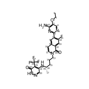 CCOc1cnc(-c2cc3ccn(CCC[C@H](C)Nc4cn[nH]c(=O)c4C(F)(F)F)c(=O)c3cc2F)nc1N